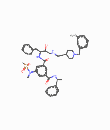 COc1cccc(CN2CCC(CNCC(O)C(Cc3ccccc3)NC(=O)c3cc(C(=O)NC(C)c4ccccc4)cc(N(C)S(C)(=O)=O)c3)CC2)c1